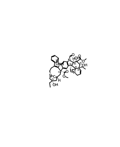 CC[C@]1(O)C[C@H]2C[N@](CCc3c([nH]c4ccccc34)[C@@](C(=O)OC)(c3cc4c(cc3OC)N(C=O)[C@H]3[C@@](O)(C(=O)OC)[C@H](O)[C@]5(CC)C=CCN6CC[C@]43[C@@H]65)C2)C1